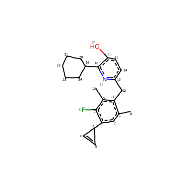 Cc1cc(C2C=C2)c(F)c(C)c1Cc1ccc(O)c(C2CCCCC2)n1